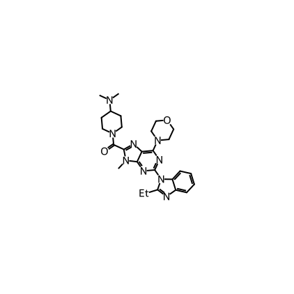 CCc1nc2ccccc2n1-c1nc(N2CCOCC2)c2nc(C(=O)N3CCC(N(C)C)CC3)n(C)c2n1